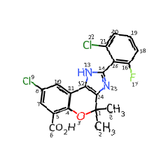 CC1(C)Oc2c(C(=O)O)cc(Cl)cc2-c2[nH]c(-c3c(F)cccc3Cl)nc21